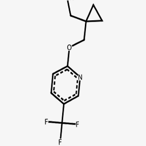 OCC1(COc2ccc(C(F)(F)F)cn2)CC1